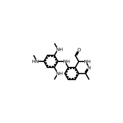 CNc1cc(NC)c(Nc2cccc3c2C(C=O)NN=C3C)c(NC)c1